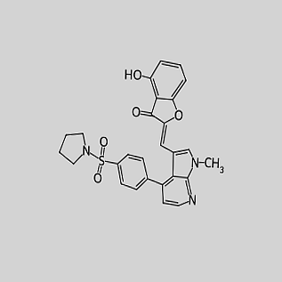 Cn1cc(/C=C2\Oc3cccc(O)c3C2=O)c2c(-c3ccc(S(=O)(=O)N4CCCC4)cc3)ccnc21